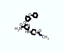 C/C=C/C(=O)N1CCC(Nc2cnc(Oc3ccc(Oc4ccccc4)cc3)c(C(N)=O)c2)CC1